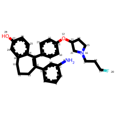 Nc1cccc(C2=C(c3ccc(OC4CCN(CCCF)C4)cc3)c3ccc(O)cc3CCC2)c1